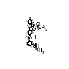 CC(C)(C)OC(=O)C(Cc1ccc(NC(=O)c2cccc(NC=NN)c2)cc1)c1ccccc1